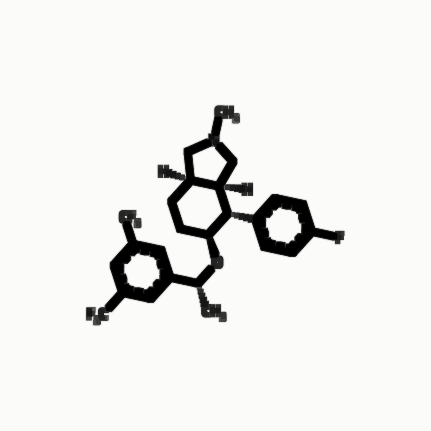 C[C@@H](O[C@H]1CC[C@H]2CN(C)C[C@H]2[C@@H]1c1ccc(F)cc1)c1cc(C(F)(F)F)cc(C(F)(F)F)c1